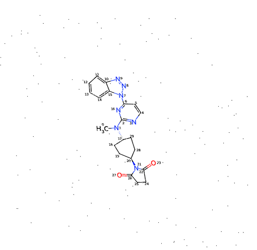 CN(c1nccc(-n2nnc3ccccc32)n1)[C@H]1CC[C@H](N2C(=O)CCC2=O)CC1